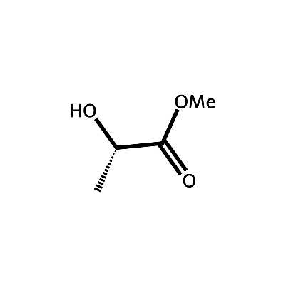 [CH2]OC(=O)[C@H](C)O